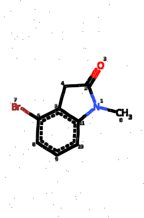 CN1C(=O)Cc2c(Br)cccc21